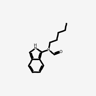 CCCCCN([C]=O)c1[nH]cc2ccccc12